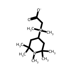 CN1C(C)(C)CC([N+](C)(C)CC(=O)[O-])CC1(C)C